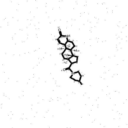 CC1CCN(C(=O)C2CC[C@H]3[C@@H]4CCC5NC(=O)C=C[C@]5(C)[C@@H]4CC[C@]23C)CC1